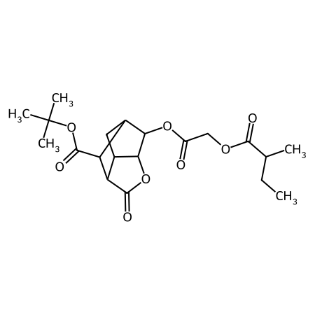 CCC(C)C(=O)OCC(=O)OC1C2CC3C1OC(=O)C3C2C(=O)OC(C)(C)C